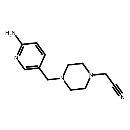 N#CCN1CCN(Cc2ccc(N)nc2)CC1